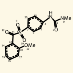 CNC(=O)Nc1ccc(S(=O)(=O)C(=O)c2ccccc2OC)cc1